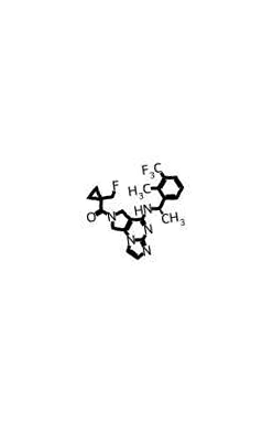 Cc1c([C@@H](C)Nc2nc3nccn3c3c2CN(C(=O)C2(CF)CC2)C3)cccc1C(F)(F)F